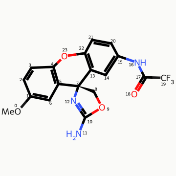 COc1ccc2c(c1)[C@]1(COC(N)=N1)c1cc(NC(=O)C(F)(F)F)ccc1O2